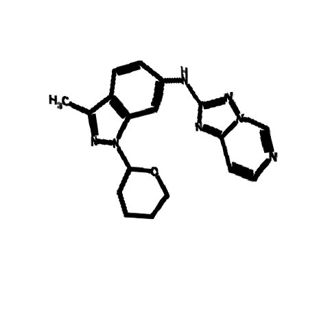 Cc1nn(C2CCCCO2)c2cc(Nc3nc4ccncn4n3)ccc12